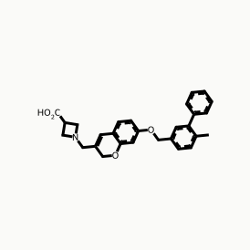 Cc1ccc(COc2ccc3c(c2)OCC(CN2CC(C(=O)O)C2)=C3)cc1-c1ccccc1